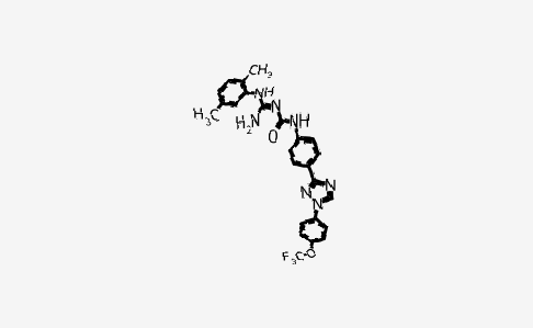 Cc1ccc(C)c(N/C(N)=N/C(=O)Nc2ccc(-c3ncn(-c4ccc(OC(F)(F)F)cc4)n3)cc2)c1